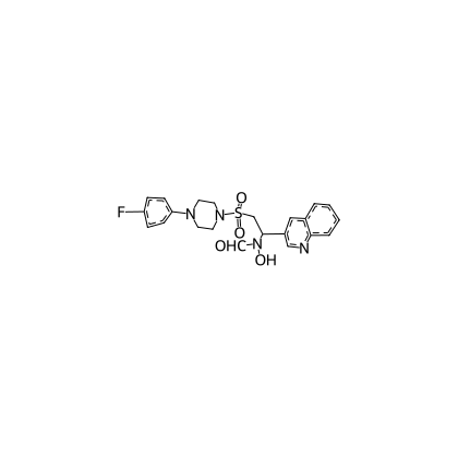 O=CN(O)C(CS(=O)(=O)N1CCN(c2ccc(F)cc2)CC1)c1cnc2ccccc2c1